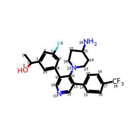 CC(O)c1cc(F)cc(-c2cncc(-c3ccc(C(F)(F)F)cc3)c2N2CCC(N)CC2)c1